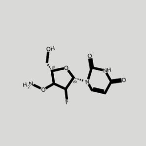 NOC1C(F)[C@@H](n2ccc(=O)[nH]c2=O)O[C@H]1CO